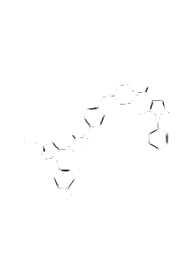 Cc1ccc(-n2nc(C(C)(C)C)cc2NC(=O)Nc2ccc(CC3CCN(C(=O)c4cnn(-c5ccccc5)c4C)CC3)cc2)cc1